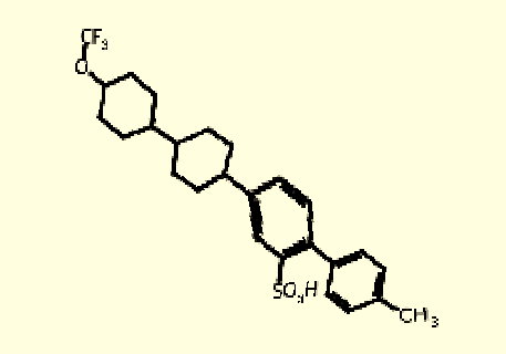 Cc1ccc(-c2ccc(C3CCC(C4CCC(OC(F)(F)F)CC4)CC3)cc2S(=O)(=O)O)cc1